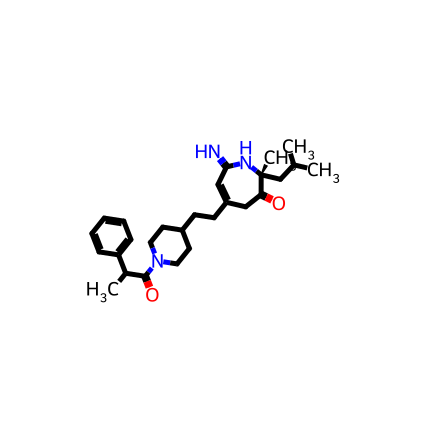 CC(C)C[C@@]1(C)NC(=N)C=C(CCC2CCN(C(=O)C(C)c3ccccc3)CC2)CC1=O